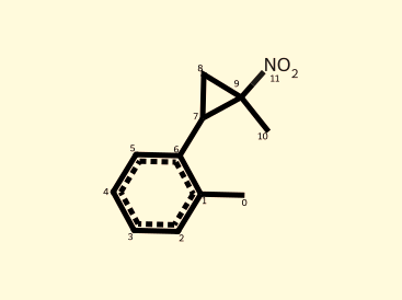 Cc1ccccc1C1CC1(C)[N+](=O)[O-]